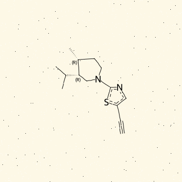 C#Cc1cnc(N2CC[C@@H](C)[C@@H](C(C)C)C2)s1